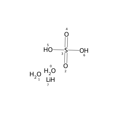 O.O.O=S(=O)(O)O.[LiH]